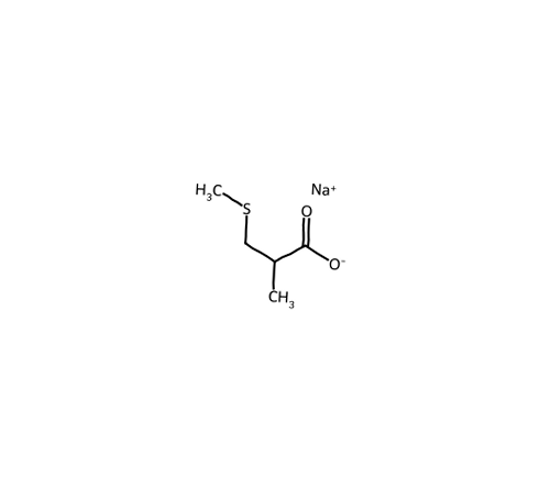 CSCC(C)C(=O)[O-].[Na+]